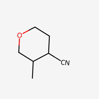 CC1COCCC1C#N